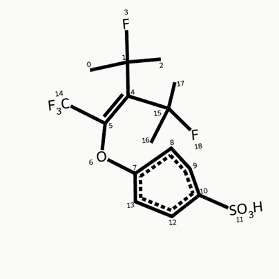 CC(C)(F)C(=C(Oc1ccc(S(=O)(=O)O)cc1)C(F)(F)F)C(C)(C)F